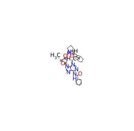 CC[C@H]1O[C@@H](n2cnc3c(NC(=O)c4ccccc4)ncnc32)C[C@H]1OP1O[C@H](C[Si]2(C)CCCC2)[C@@H]2CCCN21